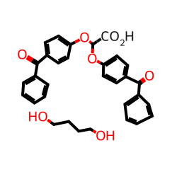 O=C(c1ccccc1)c1ccc(OC(Oc2ccc(C(=O)c3ccccc3)cc2)C(=O)O)cc1.OCCCCO